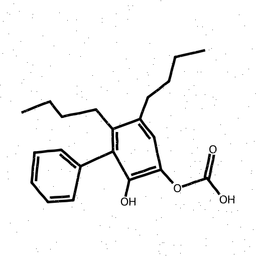 CCCCc1cc(OC(=O)O)c(O)c(-c2ccccc2)c1CCCC